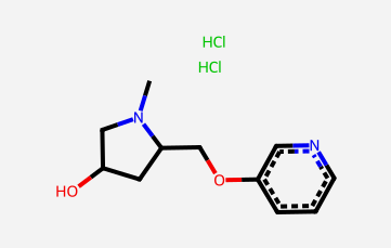 CN1CC(O)CC1COc1cccnc1.Cl.Cl